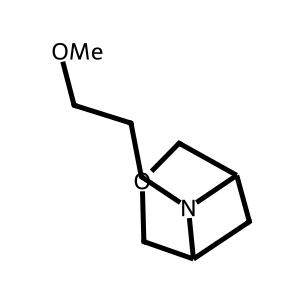 COCCCN1C2COCC1C2